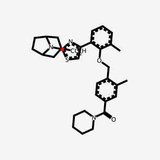 Cc1cc(C(=O)N2CCCCC2)ccc1COc1c(C)cccc1-c1csc(N2C3CCC2CC(C(=O)O)C3)n1